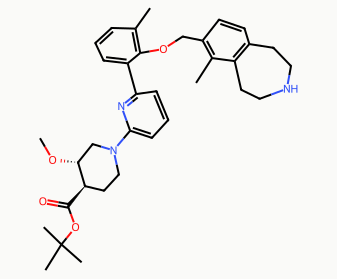 CO[C@@H]1CN(c2cccc(-c3cccc(C)c3OCc3ccc4c(c3C)CCNCC4)n2)CC[C@H]1C(=O)OC(C)(C)C